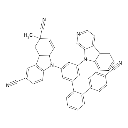 CC1(C#N)C=Cc2c(c3cc(C#N)ccc3n2-c2cc(-c3ccccc3-c3ccc(C#N)cc3)cc(-n3c4ccccc4c4ccncc43)c2)C1